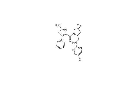 Cc1nc(C(=O)N2CC3(CC3)CC2CNc2ncc(Cl)cn2)c(-c2ccccc2)s1